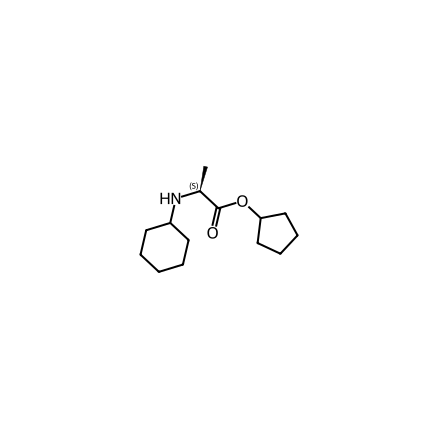 C[C@H](NC1CCCCC1)C(=O)OC1CCCC1